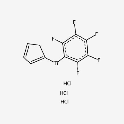 Cl.Cl.Cl.Fc1c(F)c(F)[c]([Ti][C]2=CC=CC2)c(F)c1F